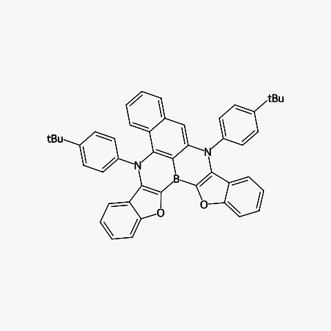 CC(C)(C)c1ccc(N2c3cc4ccccc4c4c3B(c3oc5ccccc5c32)c2oc3ccccc3c2N4c2ccc(C(C)(C)C)cc2)cc1